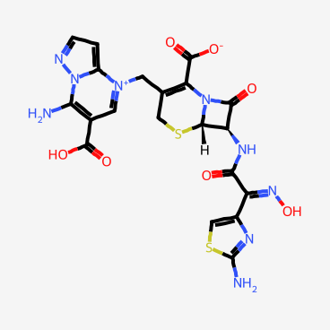 Nc1nc(C(=NO)C(=O)N[C@@H]2C(=O)N3C(C(=O)[O-])=C(C[n+]4cc(C(=O)O)c(N)n5nccc54)CS[C@@H]23)cs1